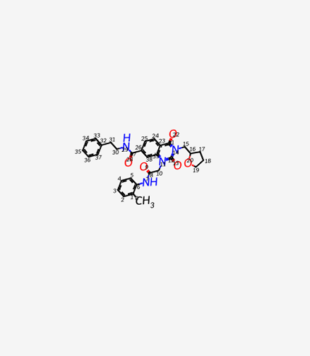 Cc1ccccc1NC(=O)Cn1c(=O)n(CC2CCCO2)c(=O)c2ccc(C(=O)NCCc3ccccc3)cc21